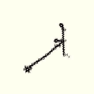 CCCCCCCCCCCN(C(=O)CCCCCCCCCC(=O)OCc1ccccc1)[C@@H](CCC(=O)NCCOCCOCCOCCOCCOCCOCCOCCOCCC(=O)Oc1c(F)c(F)c(F)c(F)c1F)C(=O)OCc1ccccc1